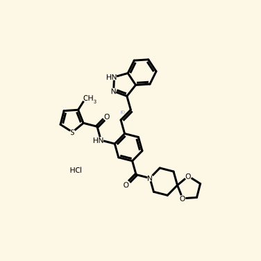 Cc1ccsc1C(=O)Nc1cc(C(=O)N2CCC3(CC2)OCCO3)ccc1/C=C/c1n[nH]c2ccccc12.Cl